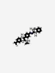 CC(C)NC(=O)C(Nc1ccc(C(C)C)cc1)c1ccc(/C=C/C(=O)Nc2ccccc2N)cc1